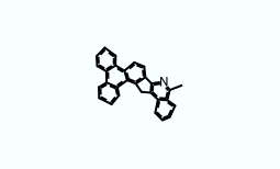 Cc1nc2c(c3ccccc13)Cc1c-2ccc2c3ccccc3c3ccccc3c12